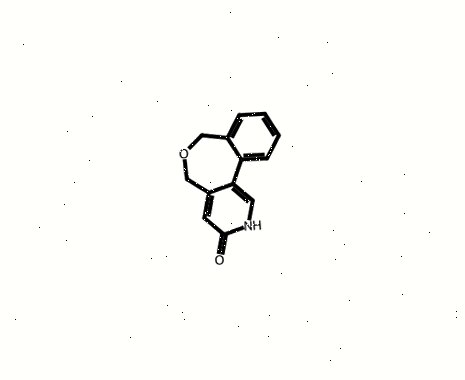 O=c1cc2c(c[nH]1)-c1ccccc1COC2